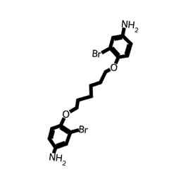 Nc1ccc(OCCCCCCOc2ccc(N)cc2Br)c(Br)c1